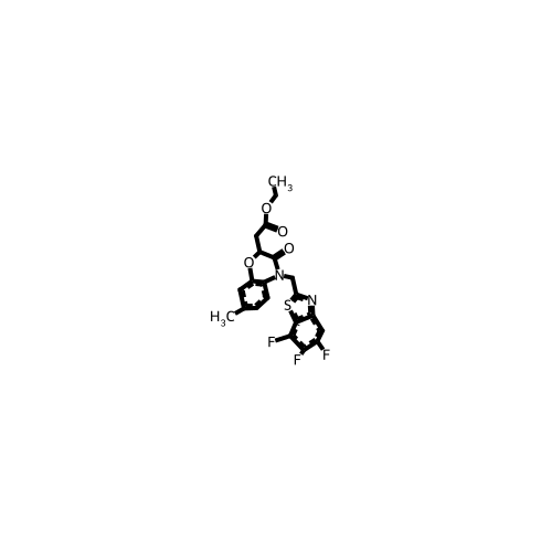 CCOC(=O)CC1Oc2cc(C)ccc2N(Cc2nc3cc(F)c(F)c(F)c3s2)C1=O